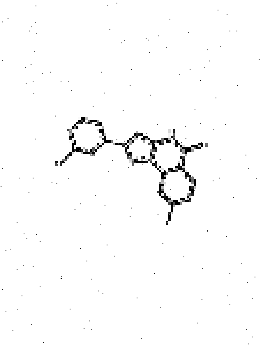 O=c1[nH]c2cc(-c3ccnc(Cl)c3)nn2c2cc(F)ccc12